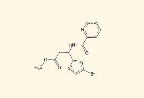 COC(=O)CC(NC(=O)c1ccccn1)c1cc(Br)cs1